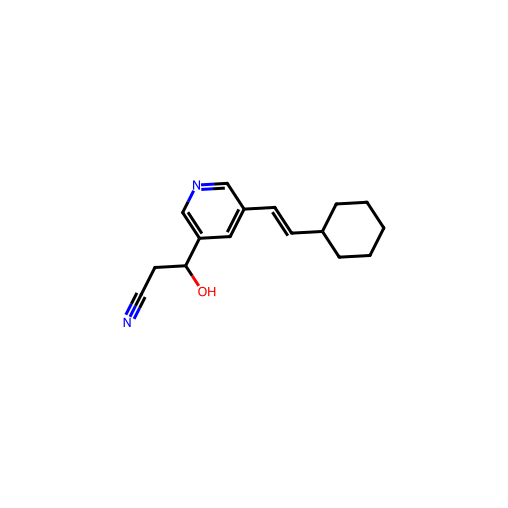 N#CCC(O)c1cncc(C=CC2CCCCC2)c1